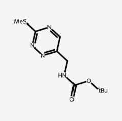 CSc1ncc(CNC(=O)OC(C)(C)C)nn1